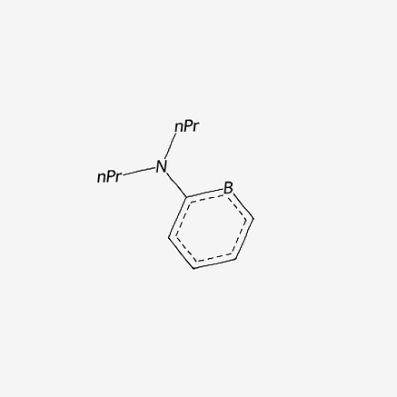 CCCN(CCC)c1bcccc1